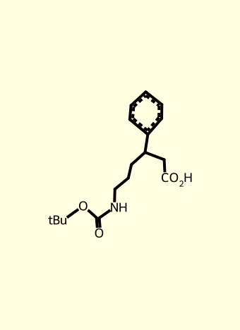 CC(C)(C)OC(=O)NCCCC(CC(=O)O)c1ccccc1